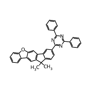 CC1(C)c2ccc(-c3nc(-c4ccccc4)nc(-c4ccccc4)n3)cc2-c2cc3oc4ccccc4c3cc21